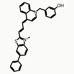 C[n+]1c(C=CC=C2C=CN(Cc3cccc(O)c3)c3ccccc32)sc2cc(-c3ccccc3)ccc21